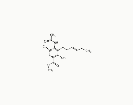 CCC=CCCc1c(O)c(C(=O)OC)cc(Cl)c1NC(C)=O